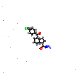 NC(=O)C1CCc2c(C(=O)c3ccc(Cl)cc3)cccc21